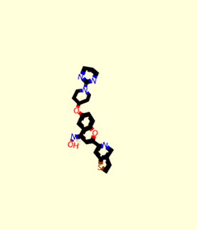 O/N=c1\cc(-c2cc3sccc3cn2)oc2ccc(OC3CCN(c4ncccn4)CC3)cc12